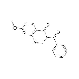 COc1ccc2c(c1)SCC(C(=O)c1ccccc1)C2=O